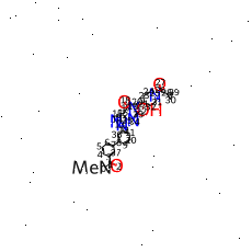 CNC(=O)c1cccc(-c2cccc(-n3ncc4c(=O)n(CC5(O)CCN(C(=O)C6CC6)CC5)cnc43)c2)c1